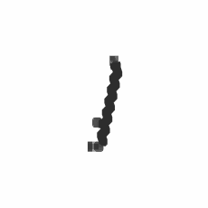 N#CCCCCCCCCCC(=O)CCCO